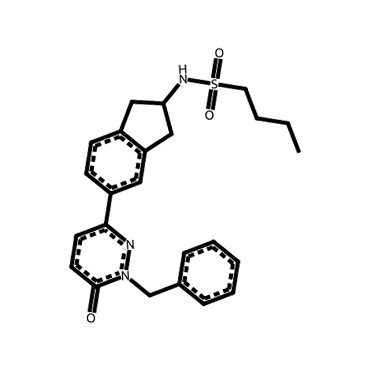 CCCCS(=O)(=O)NC1Cc2ccc(-c3ccc(=O)n(Cc4ccccc4)n3)cc2C1